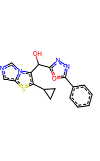 OC(c1nnc(-c2ccccc2)o1)c1c(C2CC2)sc2cncn12